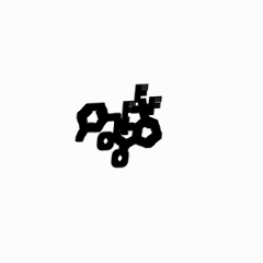 Cc1cccc(CN2C(=O)C(=O)c3cccc(C(F)(F)F)c32)c1